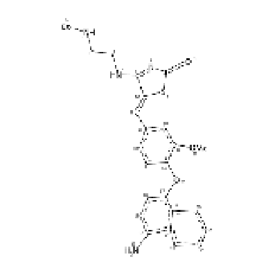 CCNCCNC1=NC(=O)S/C1=C\c1ccc(Oc2ccc(N)c3ccccc23)c(OC)c1